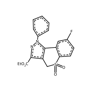 CCOC(=O)c1nn(-c2ccccc2)c2c1CS(=O)(=O)c1ccc(F)cc1-2